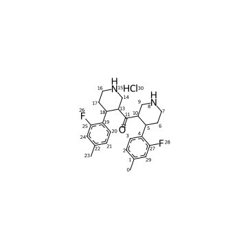 Cc1ccc(C2CCNCC2C(=O)C2CNCCC2c2ccc(C)cc2F)c(F)c1.Cl